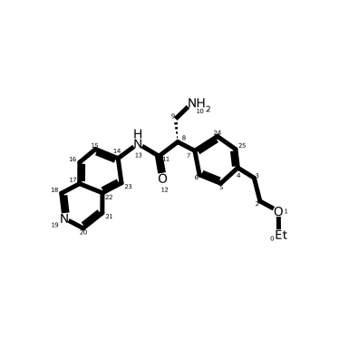 CCOCCc1ccc([C@@H](CN)C(=O)Nc2ccc3cnccc3c2)cc1